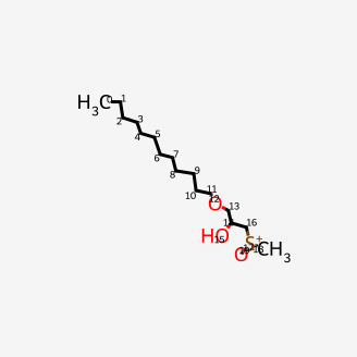 CCCCCCCCCCCCOCC(O)C[S+](C)[O-]